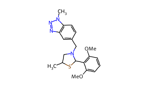 COc1cccc(OC)c1C1SC(C)CN1Cc1ccc2c(c1)nnn2C